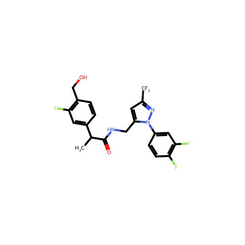 CC(C(=O)NCc1cc(C(F)(F)F)nn1-c1ccc(F)c(F)c1)c1ccc(CO)c(F)c1